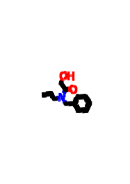 C=CCN(Cc1ccccc1)C(=O)CO